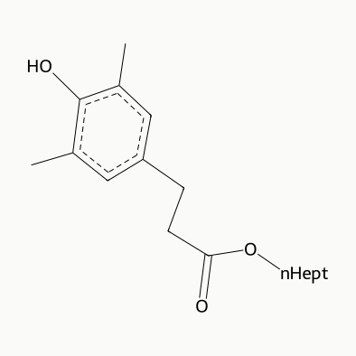 CCCCCCCOC(=O)CCc1cc(C)c(O)c(C)c1